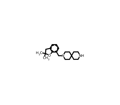 CC1(C)Cc2cccc(CN3CCC4(CCNCC4)CC3)c2O1